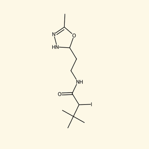 CC1=NNC(CCNC(=O)C(I)C(C)(C)C)O1